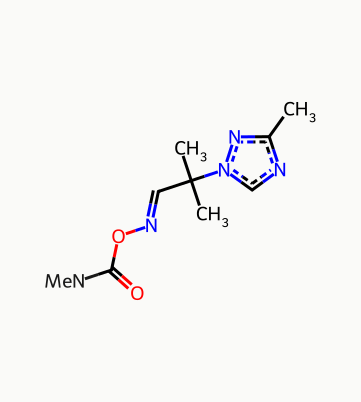 CNC(=O)ON=CC(C)(C)n1cnc(C)n1